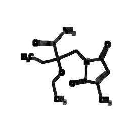 CCOC(CC)(CN1C(=O)C=C(C)C1=O)C(N)=O